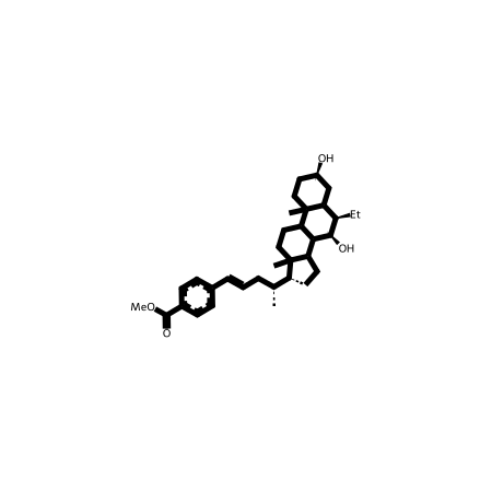 CC[C@@H]1C2C[C@H](O)CCC2(C)C2CCC3(C)C(CC[C@@H]3[C@H](C)C/C=C/c3ccc(C(=O)OC)cc3)C2[C@@H]1O